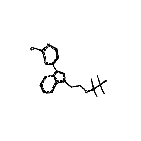 CC(C)(C)[Si](C)(C)OCCn1cc(-c2ccnc(Cl)n2)c2ccccc21